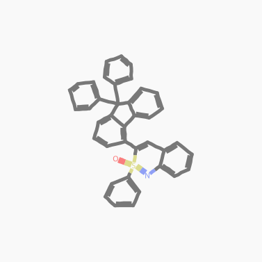 O=S1(c2ccccc2)=Nc2ccccc2C=C1c1cccc2c1-c1ccccc1C2(c1ccccc1)c1ccccc1